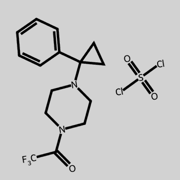 O=C(N1CCN(C2(c3ccccc3)CC2)CC1)C(F)(F)F.O=S(=O)(Cl)Cl